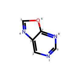 c1ncc2ncoc2n1